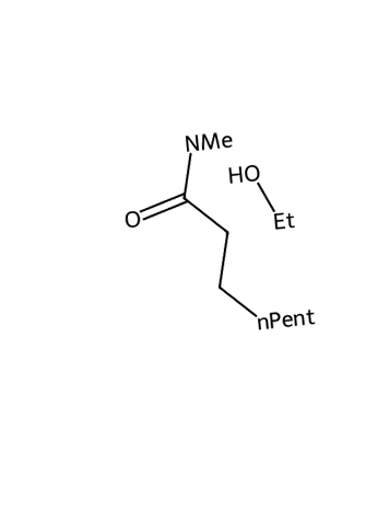 CCCCCCCC(=O)NC.CCO